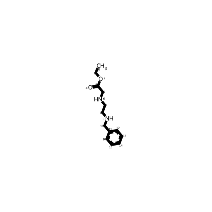 CCOC(=O)CNCCNCc1ccccc1